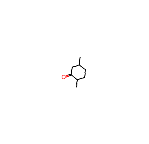 CC1CCC(C)C(=O)C1